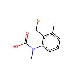 Cc1cccc(N(C)C(=O)O)c1CBr